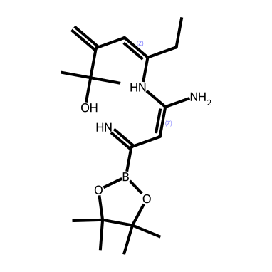 C=C(/C=C(/CC)N/C(N)=C\C(=N)B1OC(C)(C)C(C)(C)O1)C(C)(C)O